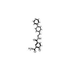 NC(=O)c1cc(C(=O)NCCC2CCN(c3ccncc3)CC2)ccc1Cl